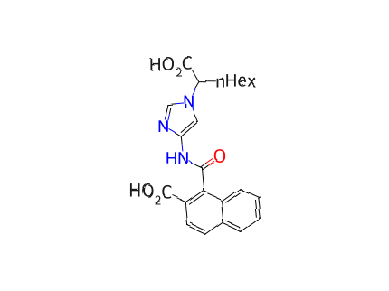 CCCCCCC(C(=O)O)n1cnc(NC(=O)c2c(C(=O)O)ccc3ccccc23)c1